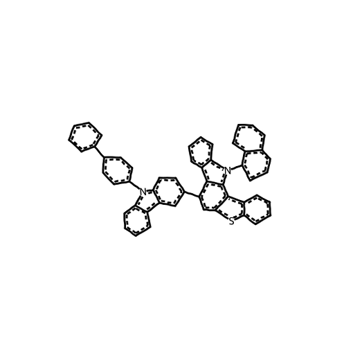 c1ccc(-c2ccc(-n3c4ccccc4c4cc(-c5cc6sc7ccccc7c6c6c5c5ccccc5n6-c5cccc6ccccc56)ccc43)cc2)cc1